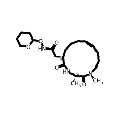 C[C@@H]1NC(=O)[C@@H](CC(=O)NOC2CCCCO2)CCCC=CCCCN(C)C1=O